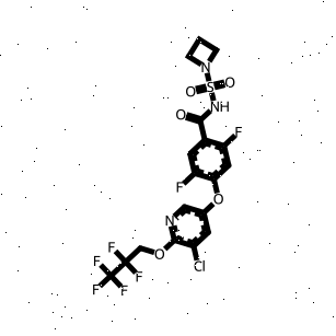 O=C(NS(=O)(=O)N1CCC1)c1cc(F)c(Oc2cnc(OCC(F)(F)C(F)(F)F)c(Cl)c2)cc1F